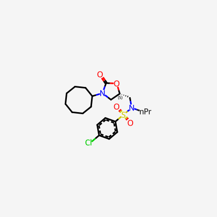 CCCN(C[C@@H]1CN(C2CCCCCCC2)C(=O)O1)S(=O)(=O)c1ccc(Cl)cc1